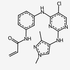 C=CC(=O)Nc1cccc(Nc2nc(Nc3cn(C)nc3C)ncc2Cl)c1